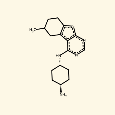 CC1CCc2sc3ncnc(N[C@H]4CC[C@H](N)CC4)c3c2C1